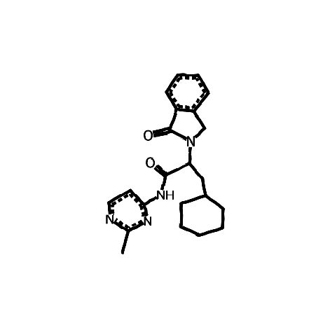 Cc1nccc(NC(=O)C(CC2CCCCC2)N2Cc3ccccc3C2=O)n1